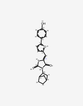 O=C1/C(=C/c2ccc(-c3ccc(O)cc3)o2)SC(=S)N1C1CC2CCC1C2